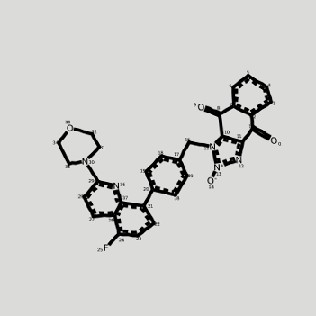 O=C1c2ccccc2C(=O)c2c1n[n+]([O-])n2Cc1ccc(-c2ccc(F)c3ccc(N4CCOCC4)nc23)cc1